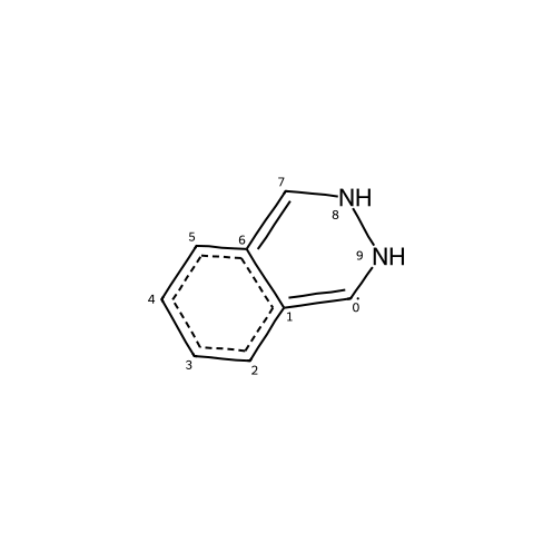 [C]1=c2ccccc2=CNN1